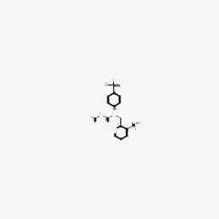 CC(=O)NC(=O)N(Cc1ncccc1C(F)(F)F)c1ccc(C(F)(F)F)cc1